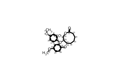 COc1ccc(O[C@H]2[C@H](C)OC(=O)CCCC[C@@H]2Oc2ccc(OC)cc2)cc1